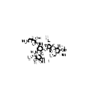 NC[C@@H]1O[C@H](O[C@H]2[C@@H](O)[C@H](O[C@@H]3[C@@H](O)[C@H](NC(=O)C(O)C(F)(F)CN)C[C@H](N)[C@H]3O[C@H]3O[C@H](CN)[C@@H](O)[C@@H](O)[C@H]3N)O[C@@H]2CO)[C@H](N)[C@@H](O)[C@@H]1O